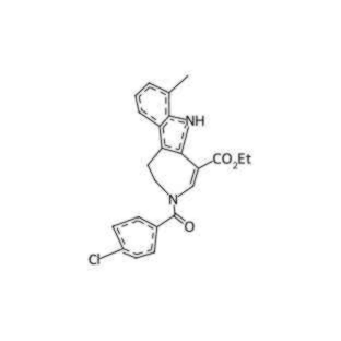 CCOC(=O)C1=CN(C(=O)c2ccc(Cl)cc2)CCc2c1[nH]c1c(C)cccc21